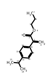 C=C(C(=O)OCCC)c1ccc(C(C)C)cc1